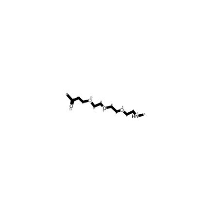 CNCCOCCOCCOCCC(C)=O